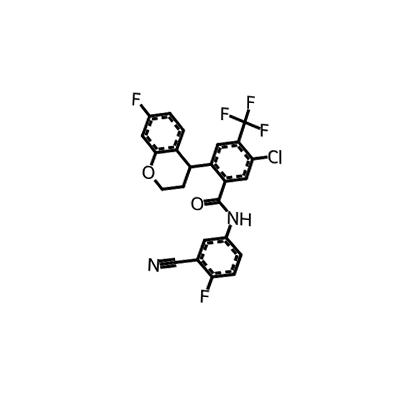 N#Cc1cc(NC(=O)c2cc(Cl)c(C(F)(F)F)cc2C2CCOc3cc(F)ccc32)ccc1F